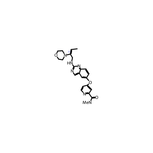 C/C=C(\CNc1ncc2cc(Oc3ccnc(C(=O)NC)c3)ccc2n1)N1CCOCC1